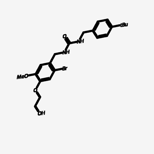 COc1cc(CNC(=O)NCc2ccc(C(C)(C)C)cc2)c(Br)cc1OCCO